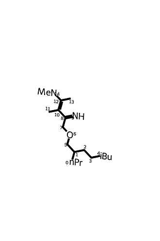 CCCC(CCC(C)CC)COCC(=N)/C(C)=C(\C)NC